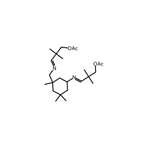 CC(=O)OCC(C)(C)C=NCC1(C)CC(N=CC(C)(C)COC(C)=O)CC(C)(C)C1